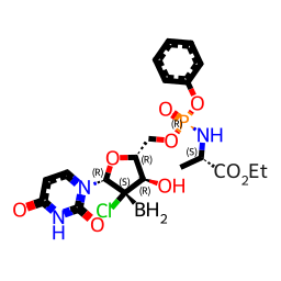 B[C@]1(Cl)[C@H](O)[C@@H](CO[P@](=O)(N[C@@H](C)C(=O)OCC)Oc2ccccc2)O[C@H]1n1ccc(=O)[nH]c1=O